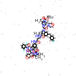 C[C@@H]1COCCN1C[C@H]1CN(C(=O)OC(C)(C)C)[C@H](C)CN1CC(=O)N1C[C@@](C)(C(=O)NCCC(=O)Nc2ccc3c(c2)[C@@H](C(=O)Nc2c(F)cccc2F)N(C(=O)[C@@H](NC(=O)[C@H](C)N(C)C(=O)OC(C)(C)C)C2CCOCC2)C3)c2ccc(Cc3ccc(F)cc3)cc21